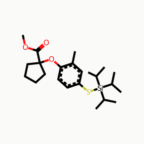 COC(=O)C1(Oc2ccc(S[Si](C(C)C)(C(C)C)C(C)C)cc2C)CCCC1